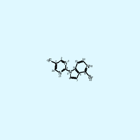 Fc1cnc(-n2ccc3c(Br)nccc32)nc1